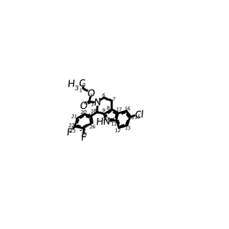 CCOC(=O)N1CCc2c([nH]c3ccc(Cl)cc23)C1c1ccc(F)c(F)c1